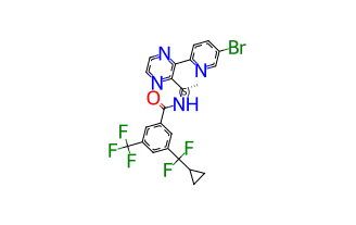 C[C@H](NC(=O)c1cc(C(F)(F)F)cc(C(F)(F)C2CC2)c1)c1nccnc1-c1ccc(Br)cn1